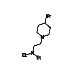 CCN(CC)CCN1CCC(C(C)C)CC1